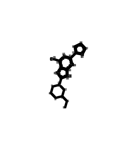 CCC1CCCN(c2nc3c(Cl)nc(-c4ccco4)nc3[nH]2)C1